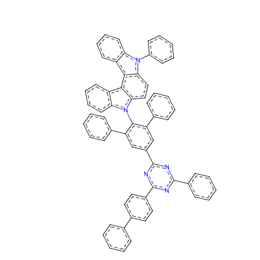 c1ccc(-c2ccc(-c3nc(-c4ccccc4)nc(-c4cc(-c5ccccc5)c(-n5c6ccccc6c6c7c8ccccc8n(-c8ccccc8)c7ccc65)c(-c5ccccc5)c4)n3)cc2)cc1